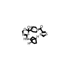 CC1(C2CCN(C(=O)c3cscn3)CC2)OCN=C(N[C@H]2C[C@@H]3CC[C@H]2C3)S1